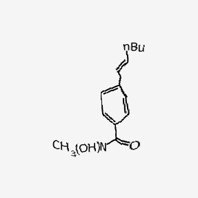 CCCCC=Cc1ccc(C(=O)N(C)O)cc1